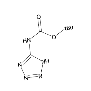 CC(C)(C)OC(=O)Nc1nnn[nH]1